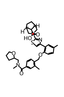 Cc1ccc(OCc2ccc(C(=O)N(C)CC3CCCO3)cc2C)c(-c2csc(N3C[C@@H]4CC[C@@H](C3)C4C(=O)O)n2)c1